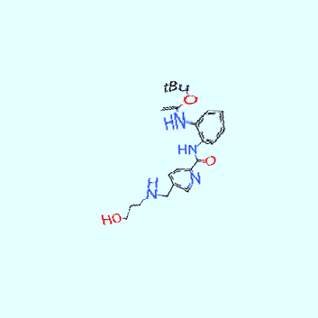 C=C(Nc1ccccc1NC(=O)c1ccc(CNCCCO)cn1)OC(C)(C)C